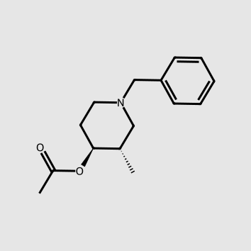 CC(=O)O[C@H]1CCN(Cc2ccccc2)C[C@@H]1C